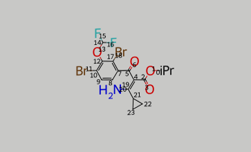 CC(C)OC(=O)C(C(=O)c1ccc(Br)c(OC(F)F)c1Br)=C(N)C1CC1